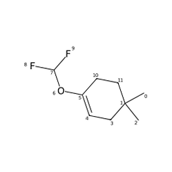 CC1(C)CC=C(OC(F)F)CC1